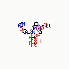 CCOCCN(c1cccc2cc(-c3ncc(CN4CCC(Oc5cnccn5)CC4)s3)[nH]c12)S(=O)(=O)c1cccs1.O=C(O)C(F)(F)F.O=C(O)C(F)(F)F